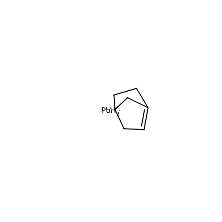 C1=C2CCC(C1)C2.[PbH2]